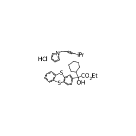 CC(C)C#CCn1cccc1.CCOC(=O)C(O)(c1ccc2c(c1)Sc1ccccc1S2)C1CCCCC1.Cl